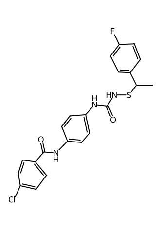 CC(SNC(=O)Nc1ccc(NC(=O)c2ccc(Cl)cc2)cc1)c1ccc(F)cc1